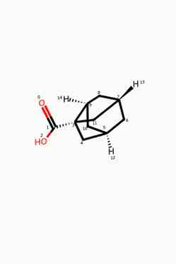 O=C(O)[C@]12C[C@@H]3C[C@@H](C[C@H]1C3)C2